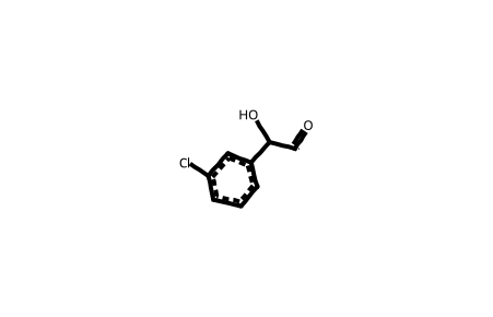 O=[C]C(O)c1cccc(Cl)c1